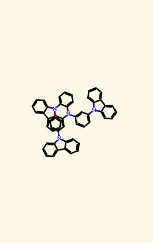 c1cc(N(c2cccc(-n3c4ccccc4c4ccccc43)c2)c2ccccc2-n2c3ccccc3c3ccccc32)cc(-n2c3ccccc3c3ccccc32)c1